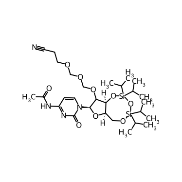 CC(=O)Nc1ccn([C@@H]2O[C@@H]3CO[Si](C(C)C)(C(C)C)O[Si](C(C)C)(C(C)C)O[C@@H]3C2OCOCOCCC#N)c(=O)n1